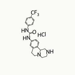 Cl.O=C(Nc1ccc(C(F)(F)F)cc1)Nc1ccc2c(c1)CCN1CCNCC21